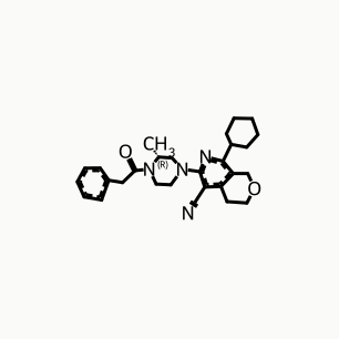 C[C@@H]1CN(c2nc(C3CCCCC3)c3c(c2C#N)CCOC3)CCN1C(=O)Cc1ccccc1